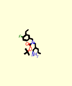 CCCC(CN)CN(Cc1ccc(F)c(CC)c1)C(=O)OC(C)(C)C